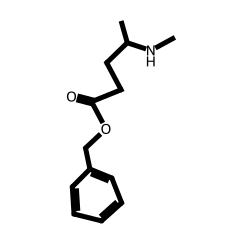 CNC(C)CCC(=O)OCc1ccccc1